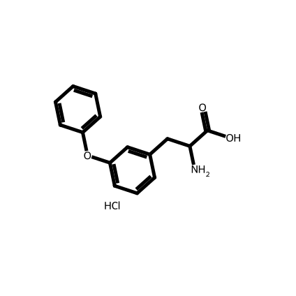 Cl.NC(Cc1cccc(Oc2ccccc2)c1)C(=O)O